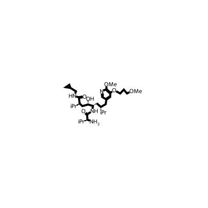 COCCCOc1cc(C[C@@H](C[C@H](NC(=O)[C@@H](N)C(C)C)[C@@H](O)C[C@H](C(=O)NCC2CC2)C(C)C)C(C)C)cnc1OC